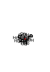 O=C(Cc1ccccc1)N[C@H]1C([C@H](O)[C@H](O)CO)O[C@@](OC2C(O)[C@H](O[C@@H]3C(CO)OCC(O)C3O)OC(CO)[C@@H]2O)(C(=O)O)C[C@H]1O